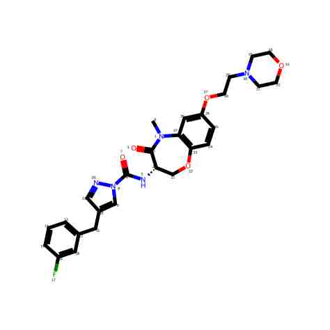 CN1C(=O)[C@@H](NC(=O)n2cc(Cc3cccc(F)c3)cn2)COc2ccc(OCCN3CCOCC3)cc21